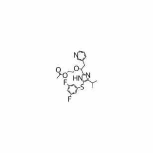 CC(=O)OCCOC(Cc1cccnc1)c1nc(C(C)C)c(Sc2cc(F)cc(F)c2)[nH]1